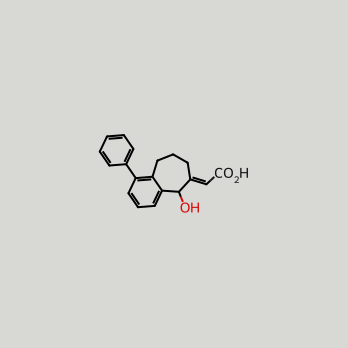 O=C(O)/C=C1\CCCc2c(-c3ccccc3)cccc2C1O